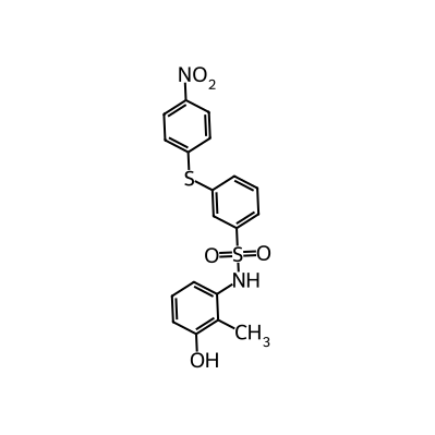 Cc1c(O)cccc1NS(=O)(=O)c1cccc(Sc2ccc([N+](=O)[O-])cc2)c1